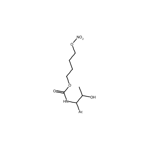 CC(=O)C(NC(=O)OCCCCO[N+](=O)[O-])C(C)O